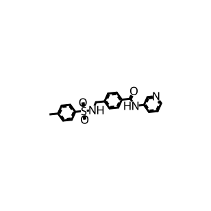 Cc1ccc(S(=O)(=O)NCc2ccc(C(=O)Nc3cccnc3)cc2)cc1